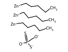 CCCC[CH2][Zn+].CCCC[CH2][Zn+].CCCC[CH2][Zn+].[O-]P([O-])(=S)[S-]